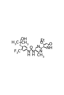 CCOc1cc(=O)[nH]cc1-c1ncc(NC(=O)Nc2ccc(CC(C)(C)CO)c(C(F)(F)F)c2)c(C)n1